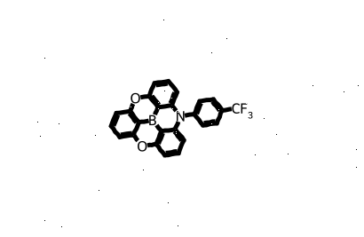 FC(F)(F)c1ccc(N2c3cccc4c3B3c5c(cccc5Oc5cccc2c53)O4)cc1